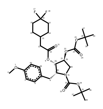 COc1ccc(C[C@@H]2[C@H](OC(=O)CC3CCC(F)(F)CC3)[C@@H](OC(=O)OC(C)(C)C)CN2C(=O)OC(C)(C)C)cc1